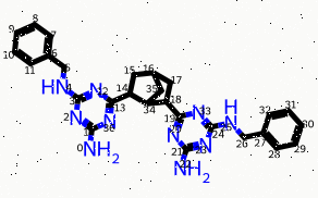 Nc1nc(NCc2ccccc2)nc(C2CC3CC(c4nc(N)nc(NCc5ccccc5)n4)C2C3)n1